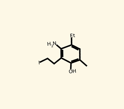 CCc1cc(C)c(O)c(CCI)c1N